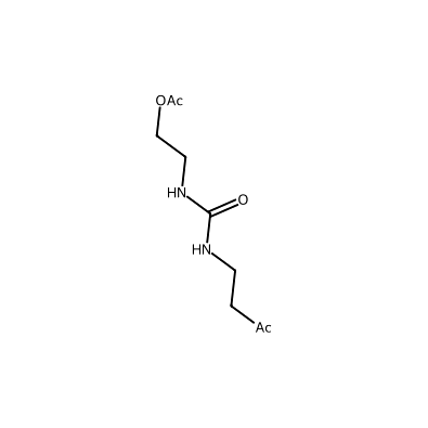 CC(=O)CCNC(=O)NCCOC(C)=O